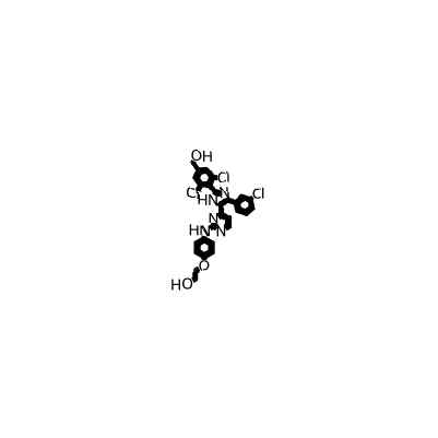 OCCOc1ccc(Nc2nccc(-c3[nH]c(-c4c(Cl)cc(CO)cc4Cl)nc3-c3cccc(Cl)c3)n2)cc1